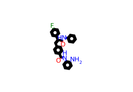 Nc1ccccc1NC(=O)c1ccc(C=C(C(=O)Nc2ccccc2)c2ccc(F)cc2)cc1